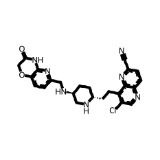 N#Cc1ccc2ncc(Cl)c(CC[C@H]3CC[C@H](NCc4ccc5c(n4)NC(=O)CO5)CN3)c2n1